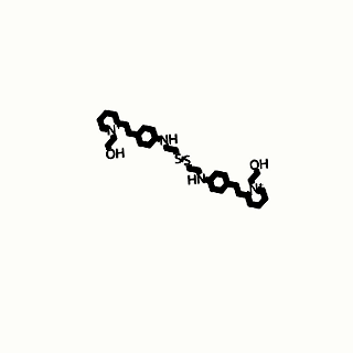 OCC[N+]1=CCCCC1CCC1CCC(NCCSSCCNC2CCC(CCC3CCCC=[N+]3CCO)CC2)CC1